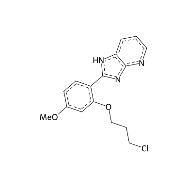 COc1ccc(-c2nc3ncccc3[nH]2)c(OCCCCl)c1